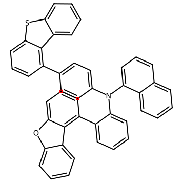 c1ccc(N(c2ccc(-c3cccc4sc5ccccc5c34)cc2)c2cccc3ccccc23)c(-c2cccc3oc4ccccc4c23)c1